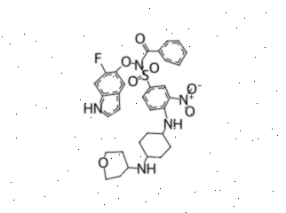 O=C(c1ccccc1)N(Oc1cc2cc[nH]c2cc1F)S(=O)(=O)c1ccc(NC2CCC(NC3CCOCC3)CC2)c([N+](=O)[O-])c1